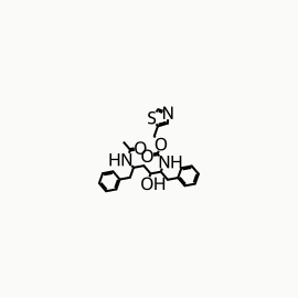 CC(=O)NC(Cc1ccccc1)CC(O)C(Cc1ccccc1)NC(=O)OCc1cncs1